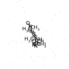 Cc1c(-c2[nH]c3ccc(N4CCN(C(=O)CC(C)(C)N5CC6(COC6)C5)CC4)nc3c2C(C)C)cn2ncnc2c1C